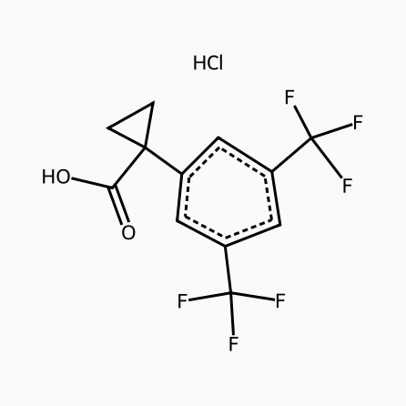 Cl.O=C(O)C1(c2cc(C(F)(F)F)cc(C(F)(F)F)c2)CC1